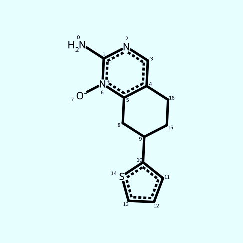 Nc1ncc2c([n+]1[O-])CC(c1cccs1)CC2